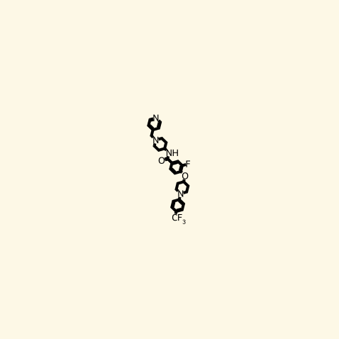 O=C(NC1CCN(Cc2ccncc2)CC1)c1ccc(OC2CCN(c3ccc(C(F)(F)F)cc3)CC2)c(F)c1